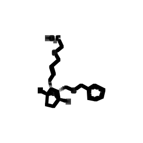 O=C(O)COCC=CC[C@@H]1[C@H](COCc2ccccc2)[C@@H]2CC[C@H]1O2